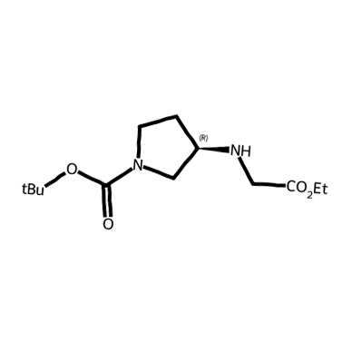 CCOC(=O)CN[C@@H]1CCN(C(=O)OC(C)(C)C)C1